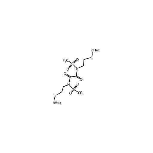 CCCCCCOCCN(C(=O)C(=O)N(CCOCCCCCC)S(=O)(=O)C(F)(F)F)S(=O)(=O)C(F)(F)F